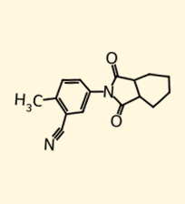 Cc1ccc(N2C(=O)C3CCCCC3C2=O)cc1C#N